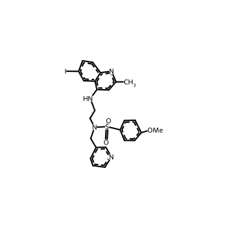 COc1ccc(S(=O)(=O)N(CCNc2cc(C)nc3ccc(I)cc23)Cc2cccnc2)cc1